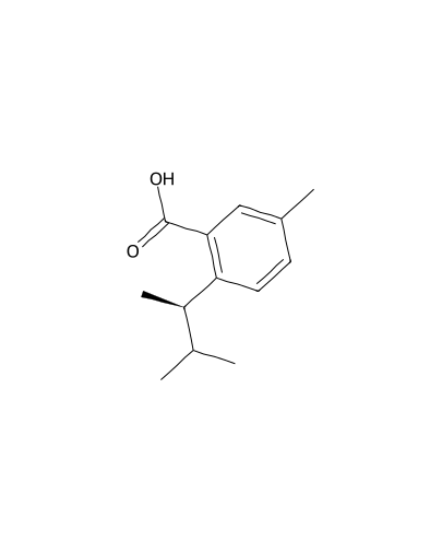 Cc1ccc([C@H](C)C(C)C)c(C(=O)O)c1